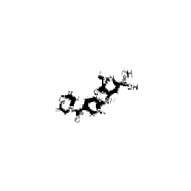 Cn1nc(B(O)O)cc(Nc2ccc(C(=O)N3CCOCC3)cn2)c1=O